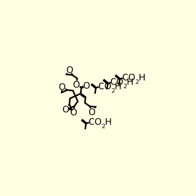 C=C(C)C(=O)O.C=C(C)C(=O)O.C=C(C)C(=O)O.C=C(C)C(=O)O.O=C(OCC1CO1)C(=CCC1CO1)C(CC1CO1)(CC1CO1)CC1CO1